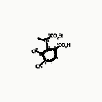 CCOC(=O)N(C)c1c(C(=O)O)ccc(Cl)c1Cl